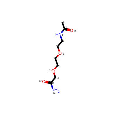 CC(=O)NCCOCCOCC(N)=O